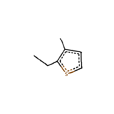 CCc1sccc1C